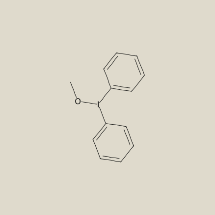 COI(c1ccccc1)c1ccccc1